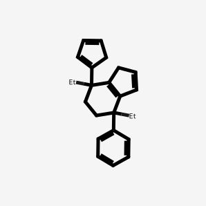 CCC1(C2=CC=CC2)CCC(CC)(c2ccccc2)C2=C1CC=C2